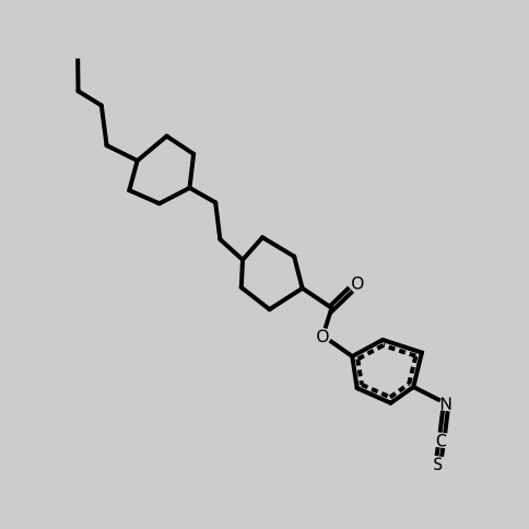 CCCCC1CCC(CCC2CCC(C(=O)Oc3ccc(N=C=S)cc3)CC2)CC1